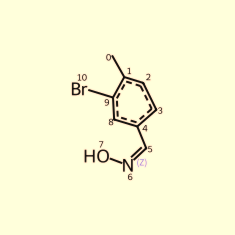 Cc1ccc(/C=N\O)cc1Br